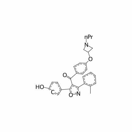 CCCN1CC(Oc2ccc(C(=O)c3c(-c4ccccc4C)noc3-c3ccc(O)cc3)cc2)C1